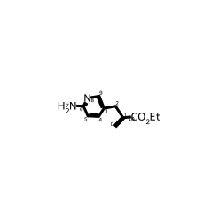 C=C(Cc1ccc(N)nc1)C(=O)OCC